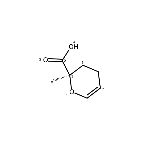 C[C@]1(C(=O)O)CCC=CO1